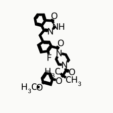 COc1cccc(OC(C)(C)C(=O)N2CCN(C(=O)c3cc(Cc4n[nH]c(=O)c5ccccc45)ccc3F)CC2)c1